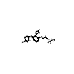 CCN(CC)CCOc1cccc(Sc2ccc(C#N)cc2)c1-c1nccs1